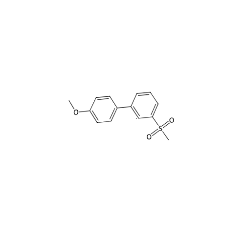 COc1ccc(-c2[c]c(S(C)(=O)=O)ccc2)cc1